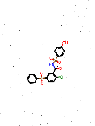 O=C(NS(=O)(=O)c1ccc(O)cc1)c1cc(S(=O)(=O)c2ccccc2)ccc1Cl